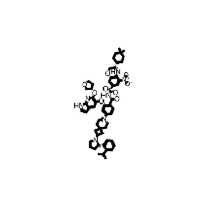 CC(C)c1ccccc1[C@@H]1CCCN1C1CC2(CCN(c3ccc(C(=O)NS(=O)(=O)c4cc5c(c([N+](=O)[O-])c4)N[C@@H](C4CCC(C)(C)CC4)CO5)c(Oc4cc5cc[nH]c5nc4O[C@@H]4CCOC4)c3)CC2)C1